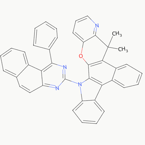 CC1(C)c2ncccc2Oc2c1c1ccccc1c1c3ccccc3n(-c3nc(-c4ccccc4)c4c(ccc5ccccc54)n3)c21